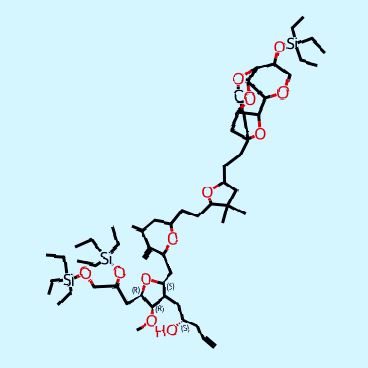 C=CC[C@H](O)CC1[C@H](CC2OC(CCC3OC(CCC45COC6C(O[Si](CC)(CC)CC)COC7C(O4)C(C5)OC67)CC3(C)C)CC(C)C2=C)O[C@H](CC(CO[Si](CC)(CC)CC)O[Si](CC)(CC)CC)[C@@H]1OC